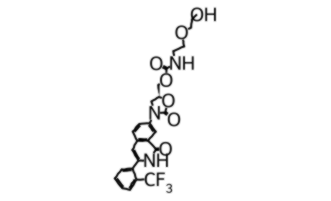 O=C(NCCOCCO)OC[C@@H]1CN(c2ccc3cc(-c4ccccc4C(F)(F)F)[nH]c(=O)c3c2)C(=O)O1